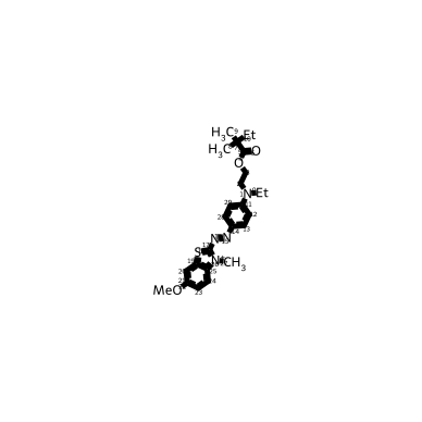 CCN(CCOC(=O)C(C)(C)CC)c1ccc(/N=N/c2sc3cc(OC)ccc3[n+]2C)cc1